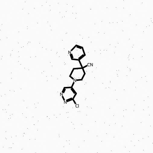 N#CC1(c2cccnc2)CCN(c2cnnc(Cl)c2)CC1